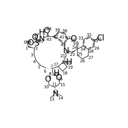 CC[C@@H]1CCCC[C@@H]([C@H]2OC[C@@H](N(C)C)CO2)[C@@H]2CC[C@H]2CN2C[C@@]3(CCCc4cc(Cl)ccc43)COc3ccc(cc32)C(=O)NS1(=O)=O